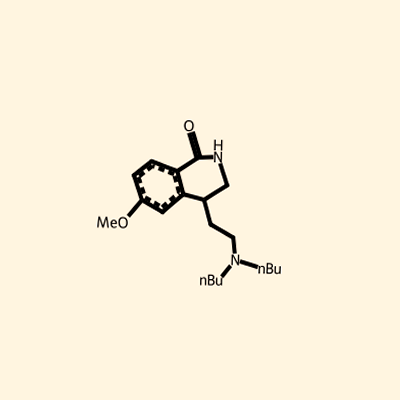 CCCCN(CCCC)CCC1CNC(=O)c2ccc(OC)cc21